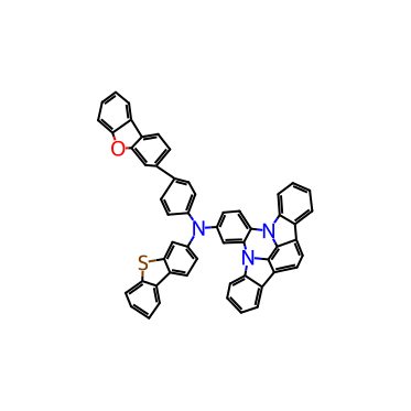 c1ccc2c(c1)oc1cc(-c3ccc(N(c4ccc5c(c4)sc4ccccc45)c4ccc5c(c4)n4c6ccccc6c6ccc7c8ccccc8n5c7c64)cc3)ccc12